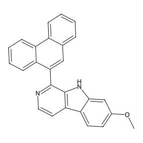 COc1ccc2c(c1)[nH]c1c(-c3cc4ccccc4c4ccccc34)nccc12